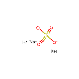 O=S(=O)([O-])[O-].[H+].[KH].[Na+]